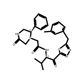 Cc1cccc(Cc2nnc(C(=O)[C@H](NC(=O)CN3CC(=O)NC[C@H]3c3ccccc3)C(C)C)o2)c1